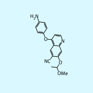 COC(C)Oc1cc2nccc(Oc3ccc(N)cc3)c2cc1C#N